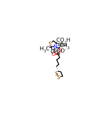 CC(OC(=O)CCCC[C@@H]1CCSS1)[N+]1(C(=O)[O-])C(C)(C)SC[C@@]1(C(=O)O)C(C)(C)C